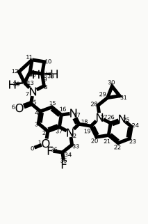 COc1cc(C(=O)N2C[C@H]3CC4C[C@@H]2[C@H]43)cc2nc(-c3cc4cccnc4n3CC3CC3)n(CC(F)F)c12